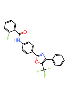 O=C(Nc1ccc(-c2nc(-c3ccccc3)c(C(F)(F)F)o2)cc1)c1ccccc1F